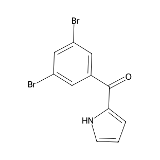 O=C(c1cc(Br)cc(Br)c1)c1ccc[nH]1